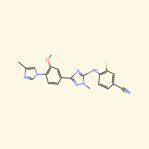 COc1cc(-c2nc(Nc3ccc(C#N)cc3F)n(C)n2)ccc1-n1cnc(C)c1